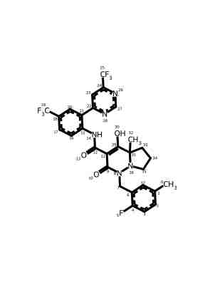 Cc1ccc(F)c(CN2C(=O)C(C(=O)Nc3ccc(C(F)(F)F)cc3-c3cc(C(F)(F)F)ncn3)=C(O)C3(C)CCCN23)c1